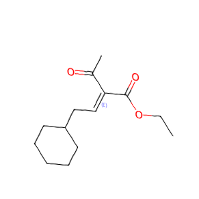 CCOC(=O)/C(=C/CC1CCCCC1)C(C)=O